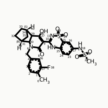 Cc1ccc(CN2C(=O)C(C3=NS(=O)(=O)c4cc(NS(C)(=O)=O)ccc4N3)=C(O)C3C2[C@@H]2CC[C@H]3C2)cc1F